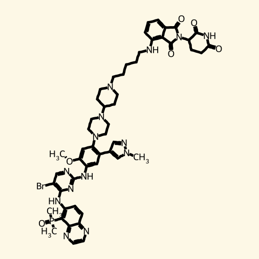 COc1cc(N2CCN(C3CCN(CCCCCNc4cccc5c4C(=O)N(C4CCC(=O)NC4=O)C5=O)CC3)CC2)c(-c2cnn(C)c2)cc1Nc1ncc(Br)c(Nc2ccc3nccnc3c2P(C)(C)=O)n1